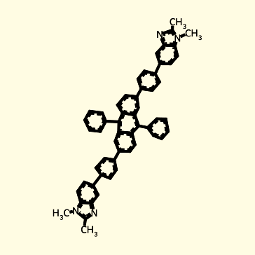 Cc1nc2cc(-c3ccc(-c4ccc5c(-c6ccccc6)c6cc(-c7ccc(-c8ccc9c(c8)nc(C)n9C)cc7)ccc6c(-c6ccccc6)c5c4)cc3)ccc2n1C